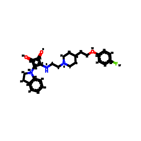 O=c1c(NCCN2CCC(CCOc3ccc(F)cc3)CC2)c(N2CCc3ccccc32)c1=O